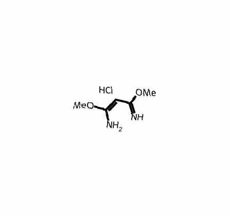 COC(=N)C=C(N)OC.Cl